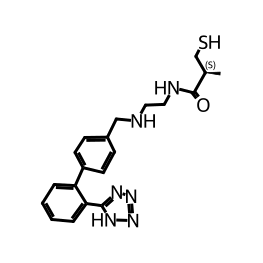 C[C@H](CS)C(=O)NCCNCc1ccc(-c2ccccc2-c2nnn[nH]2)cc1